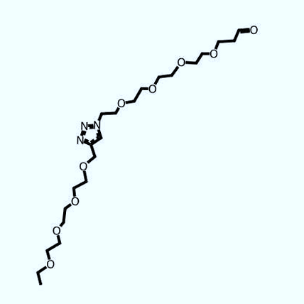 CCOCCOCCOCCOCc1cn(CCOCCOCCOCCOCCC=O)nn1